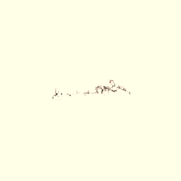 C=C(C)C(=O)OCCCCCCCCCCCCc1ccc2cc(-c3ccc(CCCCC)cc3CC)oc2c1